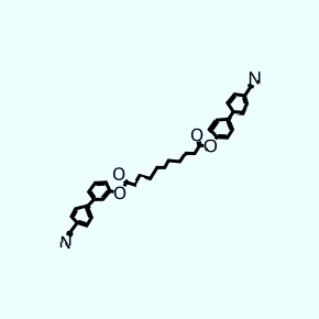 N#CC1=CCC(c2ccc(OC(=O)CCCCCCCCCC(=O)Oc3cccc(-c4ccc(C#N)cc4)c3)cc2)C=C1